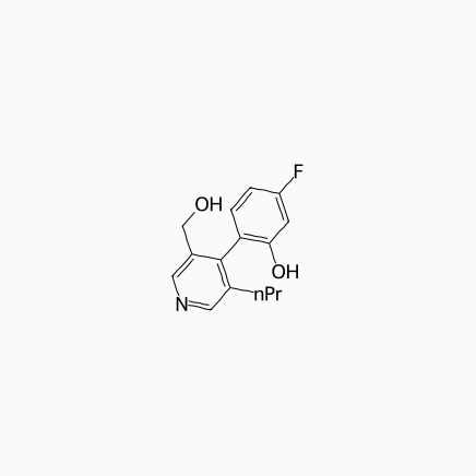 CCCc1cncc(CO)c1-c1ccc(F)cc1O